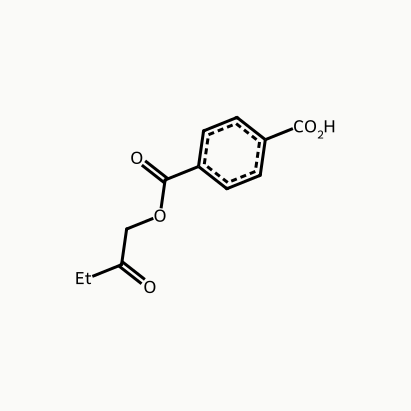 CCC(=O)COC(=O)c1ccc(C(=O)O)cc1